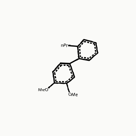 [CH2]CCc1ccccc1-c1ccc(OC)c(OC)c1